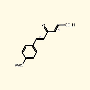 CSc1ccc(/C=C/C(=O)/C=C/C(=O)O)cc1